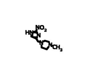 CN1CCN(Cc2c[nH]c([N+](=O)[O-])n2)CC1